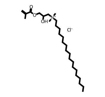 C=C(C)C(=O)OCC(O)C[N+](C)(C)CCCCCCCCCCCCCCCCCC.[Cl-]